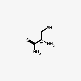 NC(=S)[C@@H](N)CS